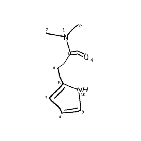 CN(C)C(=O)Cc1ccc[nH]1